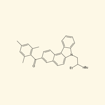 CCCCC(CC)Cn1c2ccccc2c2c3ccc(C(=O)c4c(C)cc(C)cc4C)cc3ccc21